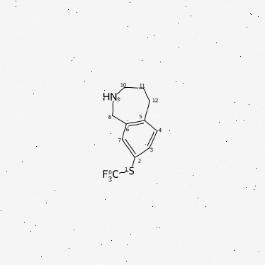 FC(F)(F)Sc1ccc2c(c1)CNCCC2